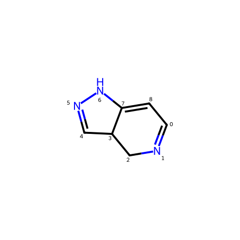 C1=NCC2C=NNC2=C1